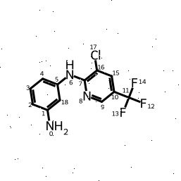 Nc1cccc(Nc2ncc(C(F)(F)F)cc2Cl)c1